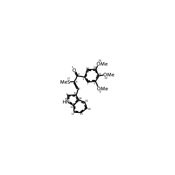 COc1cc(C(=O)/C(=C/c2c[nH]c3ccccc23)SC)cc(OC)c1OC